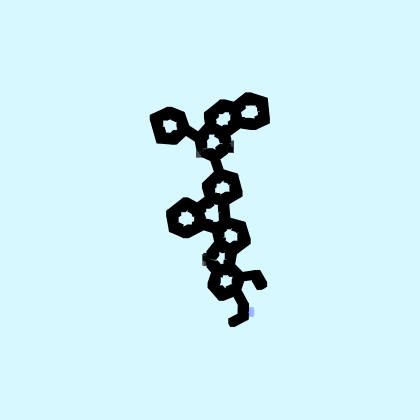 C=Cc1c(/C=C\C)ccc2sc3c(ccc4c5ccc(-c6nc(-c7ccccc7)c7ccc8ccccc8c7n6)cc5c5ccccc5c43)c12